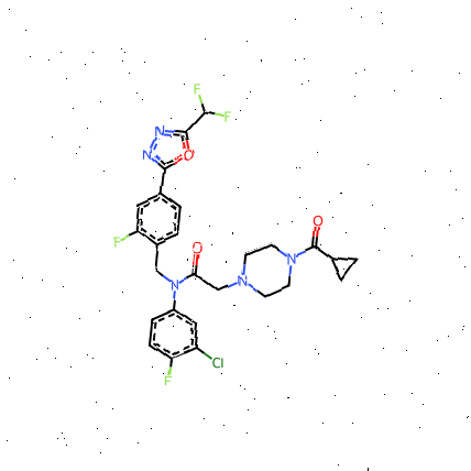 O=C(C1CC1)N1CCN(CC(=O)N(Cc2ccc(-c3nnc(C(F)F)o3)cc2F)c2ccc(F)c(Cl)c2)CC1